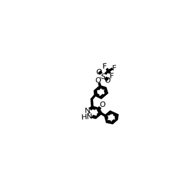 O=c1c(-c2ccccc2)c[nH]nc1Cc1cccc(OS(=O)(=O)C(F)(F)F)c1